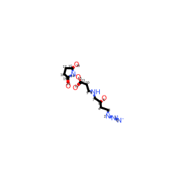 [N-]=[N+]=NCCC(=O)CNCCC(=O)ON1C(=O)CCC1=O